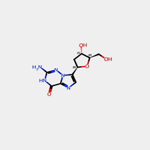 Nc1nn2c([C@H]3C[C@H](O)[C@@H](CO)O3)cnc2c(=O)[nH]1